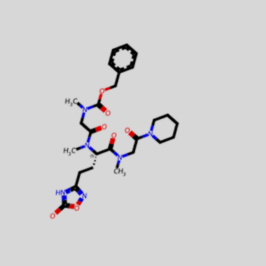 CN(CC(=O)N(C)[C@@H](CCc1noc(=O)[nH]1)C(=O)N(C)CC(=O)N1CCCCC1)C(=O)OCc1ccccc1